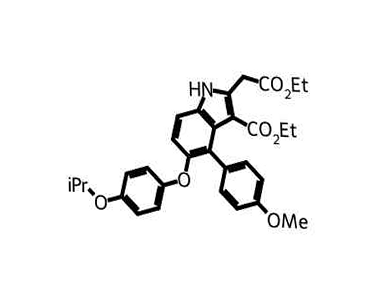 CCOC(=O)Cc1[nH]c2ccc(Oc3ccc(OC(C)C)cc3)c(-c3ccc(OC)cc3)c2c1C(=O)OCC